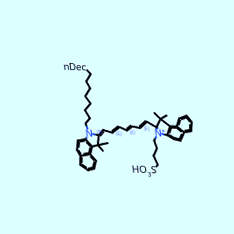 CCCCCCCCCCCCCCCCCCN1/C(=C/C=C/C=C/C=C/C2=[N+](CCCCS(=O)(=O)O)c3ccc4ccccc4c3C2(C)C)C(C)(C)c2c1ccc1ccccc21